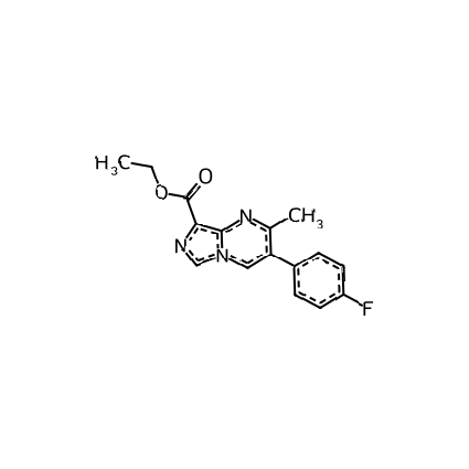 CCOC(=O)c1ncn2cc(-c3ccc(F)cc3)c(C)nc12